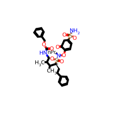 CCCN(OC1=CC=C(S(N)(=O)=O)CC1=O)S(=O)(=O)[C@@H](CCc1ccccc1)C(C)C(C)CNC(=O)OCc1ccccc1